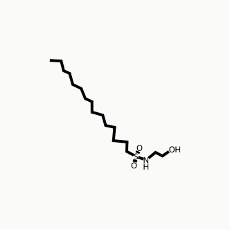 CCCCCCCCCCCCCCCS(=O)(=O)NCCO